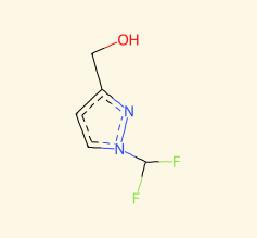 OCc1ccn(C(F)F)n1